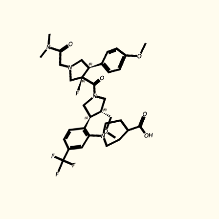 COC[C@H]1CN(C(=O)[C@]2(F)CN(CC(=O)N(C)C)C[C@H]2c2ccc(OC)cc2)C[C@@H]1c1ccc(C(F)(F)F)cc1N1CCC(C(=O)O)CC1